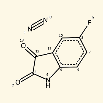 N#N.O=C1Nc2ccc(F)cc2C1=O